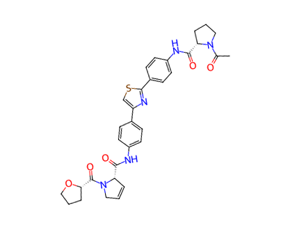 CC(=O)N1CCC[C@H]1C(=O)Nc1ccc(-c2nc(-c3ccc(NC(=O)[C@@H]4C=CCN4C(=O)[C@@H]4CCCO4)cc3)cs2)cc1